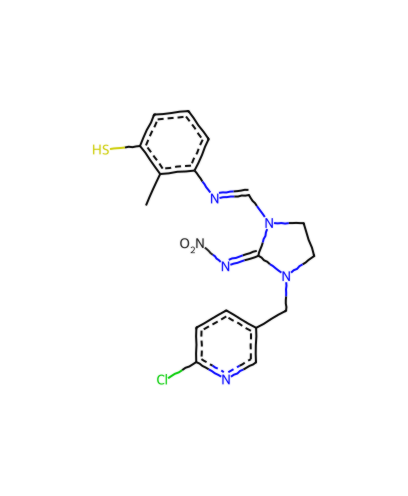 Cc1c(S)cccc1N=CN1CCN(Cc2ccc(Cl)nc2)C1=N[N+](=O)[O-]